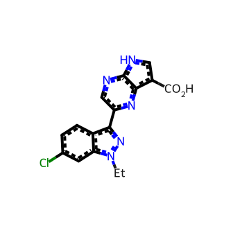 CCn1nc(-c2cnc3[nH]cc(C(=O)O)c3n2)c2ccc(Cl)cc21